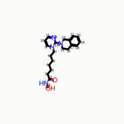 O=C(CCCCCCN1C=CC=NC1N1CCc2ccccc2C1)NO